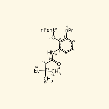 CCCCCOc1c(CCC)cccc1NC(=O)CC(C)(C)CC